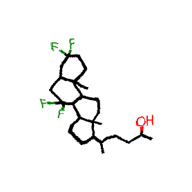 CC(O)CCC(C)C1CCC2C3C(CCC12C)C1(C)CCC(F)(F)CC1CC3(F)F